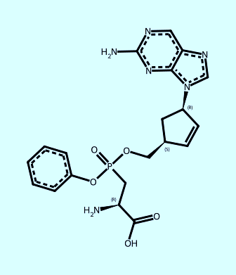 Nc1ncc2ncn([C@H]3C=C[C@@H](COP(=O)(C[C@H](N)C(=O)O)Oc4ccccc4)C3)c2n1